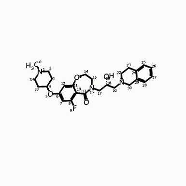 CN1CCC(Oc2cc(F)c3c(c2)OCCN(C[C@H](O)CN2CCc4ccccc4C2)C3=O)CC1